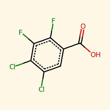 O=C(O)c1cc(Cl)c(Cl)c(F)c1F